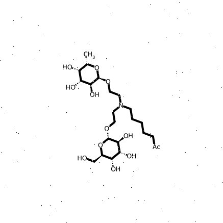 CC(=O)CCCCCN(CCO[C@@H]1O[C@@H](C)[C@@H](O)[C@@H](O)[C@@H]1O)CCO[C@H]1O[C@H](CO)[C@@H](O)[C@@H](O)[C@@H]1O